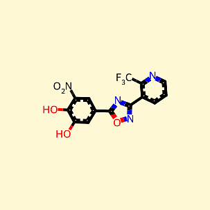 O=[N+]([O-])c1cc(-c2nc(-c3cccnc3C(F)(F)F)no2)cc(O)c1O